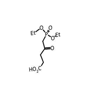 CCOP(=O)(CC(=O)CCC(=O)O)OCC